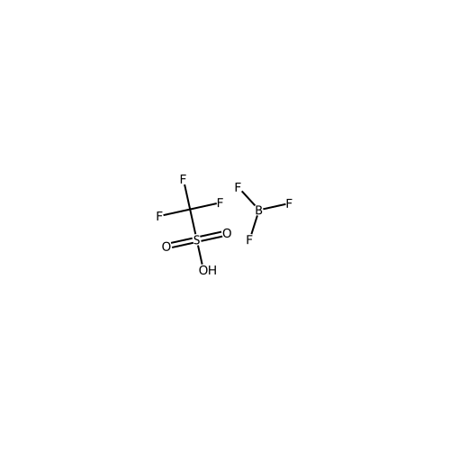 FB(F)F.O=S(=O)(O)C(F)(F)F